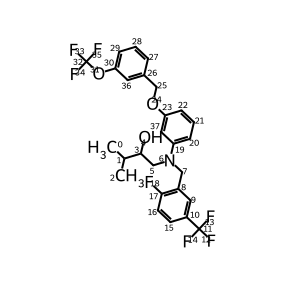 CC(C)C(O)CN(Cc1cc(C(F)(F)F)ccc1F)c1cccc(OCc2cccc(OC(F)(F)F)c2)c1